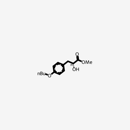 CCCCOc1ccc(C[C@@H](O)C(=O)OC)cc1